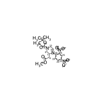 COC(=O)CC1CN(C(=O)OC(C)(C)C)CCN1c1ccc([N+](=O)[O-])cc1[N+](=O)[O-]